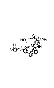 COc1nc(-c2cccc(-c3cccc4c3CC[C@@H]4Nc3nc(OC)c(CN(C)CCC(=O)O)cc3Cl)c2Cl)ccc1CNC[C@@H]1CCC(=O)N1